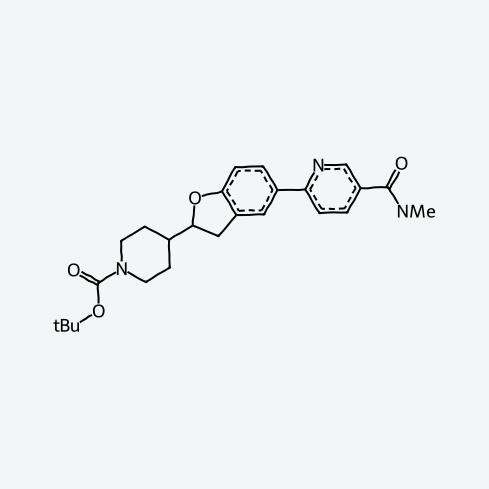 CNC(=O)c1ccc(-c2ccc3c(c2)CC(C2CCN(C(=O)OC(C)(C)C)CC2)O3)nc1